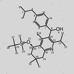 CC(C)Cc1ccc(C(O)c2c(C(C)C)nc3c(c2I)[C@H](O[Si](C)(C)C(C)(C)C)CC(C)(C)C3)cc1